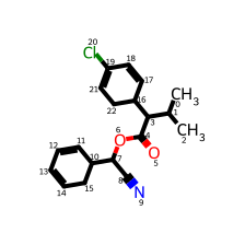 CC(C)C(C(=O)OC(C#N)C1C=CC=CC1)C1C=CC(Cl)=CC1